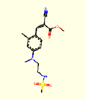 COC(=O)/C(C#N)=C\c1ccc(N(C)CCNS(C)(=O)=O)cc1C